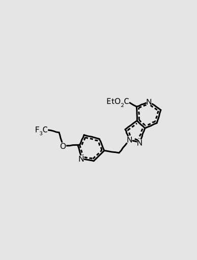 CCOC(=O)c1nccc2nn(Cc3ccc(OCC(F)(F)F)nc3)cc12